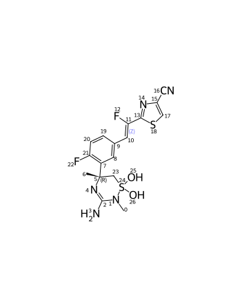 CN1C(N)=N[C@](C)(c2cc(/C=C(\F)c3nc(C#N)cs3)ccc2F)CS1(O)O